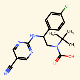 CC(C)(C)N(CC(Nc1ncc(C#N)cn1)c1ccc(Cl)cc1)C(=O)O